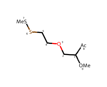 COC(COCCSSC)C(C)=O